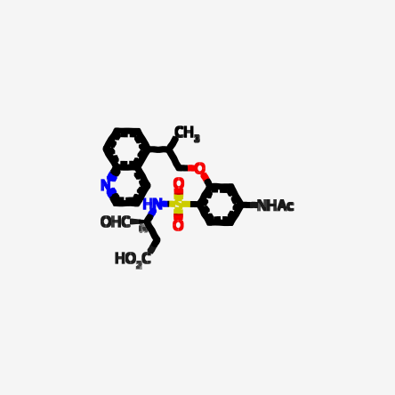 CC(=O)Nc1ccc(S(=O)(=O)N[C@H](C=O)CC(=O)O)c(OCC(C)c2cccc3ncccc23)c1